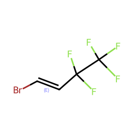 FC(F)(F)C(F)(F)/C=C/Br